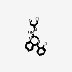 ClCC(CCl)=NNC1=Nc2ccccc2C(c2ccccc2Cl)=NC1